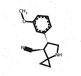 COc1cccc([C@@H]2CNC3(CC3)[C@H]2C#N)c1